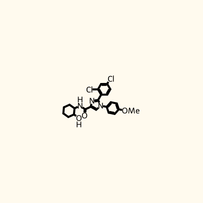 COc1ccc(-n2cc(C(=O)NC3CCCCC3O)nc2-c2ccc(Cl)cc2Cl)cc1